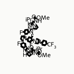 COC(=O)N[C@H](C(=O)N1CCC[C@H]1c1nc2c([nH]1)=CC(F)C([C@H]1CC[C@H](c3cc4nc([C@@H]5CCCN5C(=O)[C@@H](NC(=O)OC)C(C)C)[nH]c4cc3F)N1c1cc(F)c(N3CCN(c4ccc(C(F)(F)F)cc4)CC3)c(F)c1)C=2)C(C)C